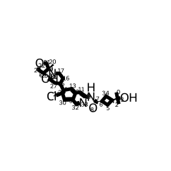 CC(C)(O)[C@H]1C[C@H](C(=O)Nc2cc3cc(C4CCN([C@@]5(C)COC[C@H]5O)CC4)c(Cl)cc3cn2)C1